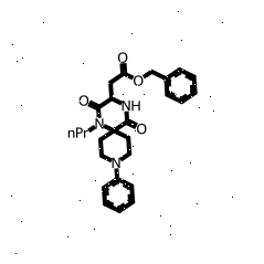 CCCN1C(=O)C(CC(=O)OCc2ccccc2)NC(=O)C12CCN(c1ccccc1)CC2